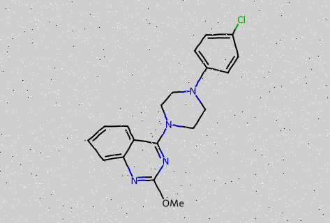 COc1nc(N2CCN(c3ccc(Cl)cc3)CC2)c2cc[c]cc2n1